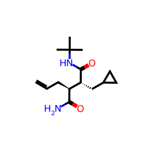 C=CC[C@H](C(N)=O)[C@@H](CC1CC1)C(=O)NC(C)(C)C